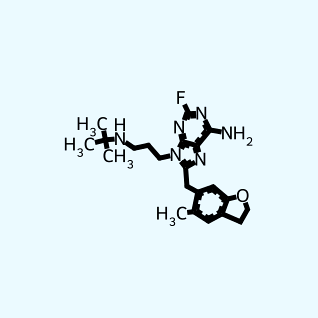 Cc1cc2c(cc1Cc1nc3c(N)nc(F)nc3n1CCCNC(C)(C)C)OCC2